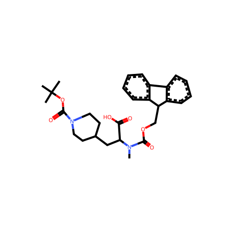 CN(C(=O)OCC1c2ccccc2-c2ccccc21)C(CC1CCN(C(=O)OC(C)(C)C)CC1)C(=O)O